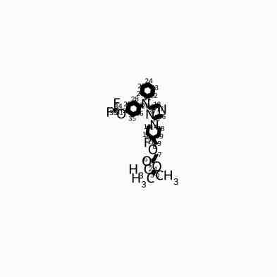 CC(C)(C)OC(=O)COCC1(F)CCN(c2cncc(N(c3ccccc3)c3ccc(OC(F)F)cc3)n2)CC1